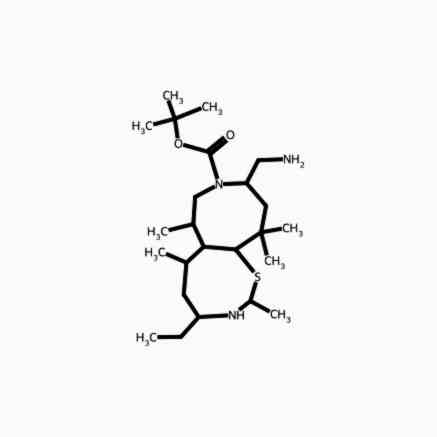 CCC1CC(C)C2C(C)CN(C(=O)OC(C)(C)C)C(CN)CC(C)(C)C2SC(C)N1